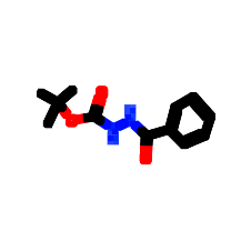 CC(C)(C)OC(=O)NNC(=O)c1ccccc1